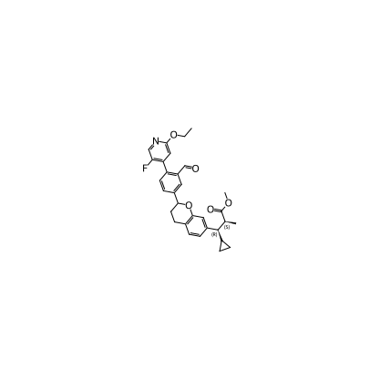 CCOc1cc(-c2ccc(C3CCc4ccc([C@H](C5CC5)[C@H](C)C(=O)OC)cc4O3)cc2C=O)c(F)cn1